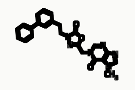 Cn1cnc2ncn(Cc3nn(CCc4cccc(-c5ccccc5)c4)c(=O)o3)c(=O)c21